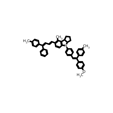 COc1ccc(/C(=C/c2ccc(N3c4ccc(/C=C/C=C(\c5ccccc5)c5ccc(C)cc5)c(C)c4C4CCCC43)cc2)c2ccc(C)cc2)cc1